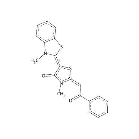 CN1/C(=c2/sc(=CC(=O)c3ccccc3)n(C)c2=O)Sc2ccccc21